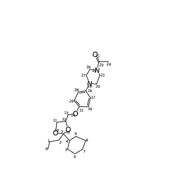 CCCC1(C2CCCCC2)OCC(COc2ccc(N3CCN(C(C)=O)CC3)cc2)O1